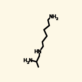 CC(N)CNCCCCCCN